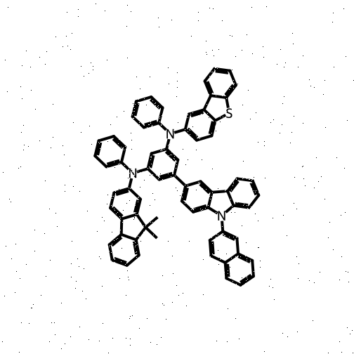 CC1(C)c2ccccc2-c2ccc(N(c3ccccc3)c3cc(-c4ccc5c(c4)c4ccccc4n5-c4ccc5ccccc5c4)cc(N(c4ccccc4)c4ccc5sc6ccccc6c5c4)c3)cc21